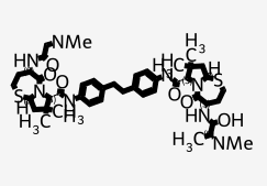 CNCC(=O)N[C@H]1CCS[C@H]2CC(C)(C)[C@@H](C(=O)Nc3ccc(CCc4ccc(NC(=O)[C@H]5N6C(=O)[C@@H](NC(O)[C@H](C)NC)CCS[C@H]6CC5(C)C)cc4)cc3)N2C1=O